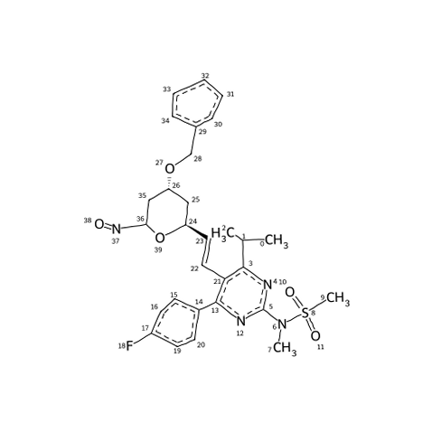 CC(C)c1nc(N(C)S(C)(=O)=O)nc(-c2ccc(F)cc2)c1/C=C/[C@@H]1C[C@@H](OCc2ccccc2)CC(N=O)O1